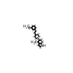 COc1cccc(C=CC2=CCN(c3cnc4[nH]ccc4c3C)CC2)c1